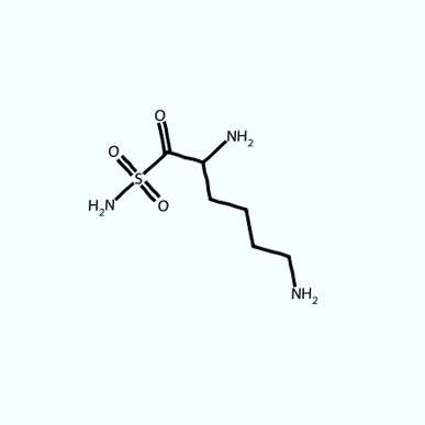 NCCCCC(N)C(=O)S(N)(=O)=O